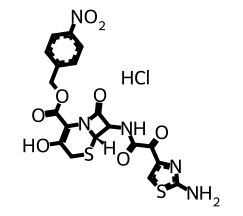 Cl.Nc1nc(C(=O)C(=O)NC2C(=O)N3C(C(=O)OCc4ccc([N+](=O)[O-])cc4)=C(O)CS[C@@H]23)cs1